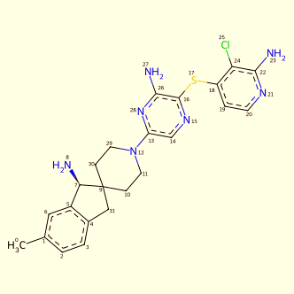 Cc1ccc2c(c1)[C@@H](N)C1(CCN(c3cnc(Sc4ccnc(N)c4Cl)c(N)n3)CC1)C2